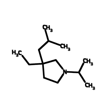 CCC1(CC(C)C)CCN(C(C)C)C1